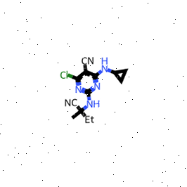 CCC(C)(C#N)Nc1nc(Cl)c(C#N)c(NC2CC2)n1